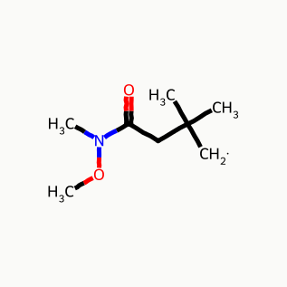 [CH2]C(C)(C)CC(=O)N(C)OC